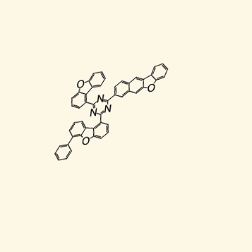 c1ccc(-c2cccc3c2oc2cccc(-c4nc(-c5ccc6cc7c(cc6c5)oc5ccccc57)nc(-c5cccc6oc7ccccc7c56)n4)c23)cc1